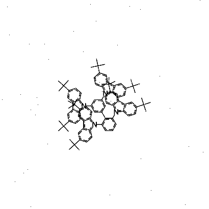 CC(C)(C)c1ccc2c(c1)c1cc(C(C)(C)C)ccc1n2-c1cc(-c2c(-n3c4ccc(C(C)(C)C)cc4c4cc(C(C)(C)C)ccc43)cccc2-n2c3ccc(C(C)(C)C)cc3c3cc(C(C)(C)C)ccc32)cc(-n2c3ccc(C(C)(C)C)cc3c3cc(C(C)(C)C)ccc32)c1